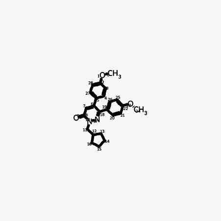 COc1ccc(-c2cc(=O)n(CC3CCCC3)nc2-c2ccc(OC)cc2)cc1